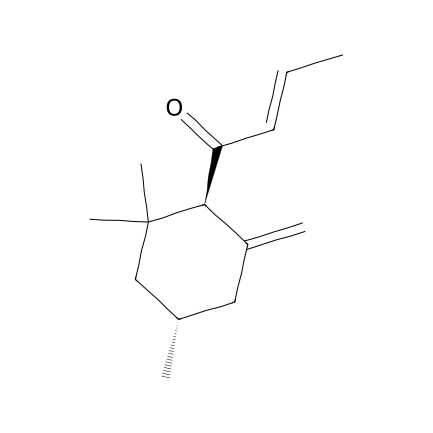 C=C1C[C@H](C)CC(C)(C)[C@H]1C(=O)/C=C/C